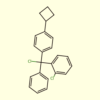 Clc1ccccc1C(Cl)(c1ccccc1)c1ccc(C2CCC2)cc1